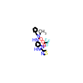 CCN(Cc1ccccc1)C(=O)Nc1ccc2[nH]c(-c3cscn3)[n+](OC(=O)C(F)(F)F)c2c1